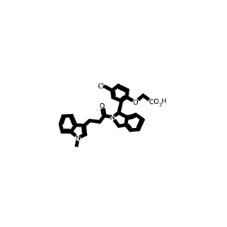 Cn1cc(CCC(=O)N2Cc3ccccc3C2c2cc(Cl)ccc2OCC(=O)O)c2ccccc21